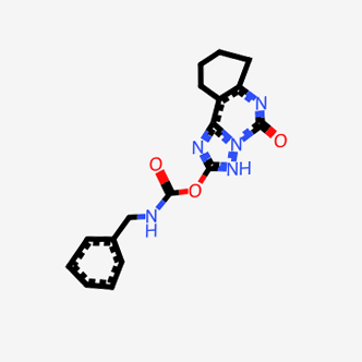 O=C(NCc1ccccc1)Oc1nc2c3c(nc(=O)n2[nH]1)CCCC3